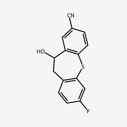 N#Cc1ccc2c(c1)C(O)Cc1ccc(F)cc1S2